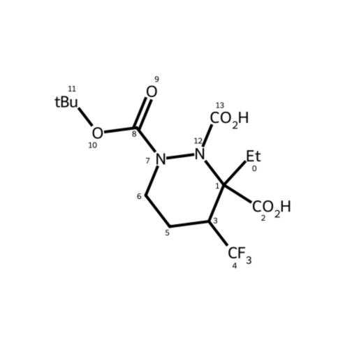 CCC1(C(=O)O)C(C(F)(F)F)CCN(C(=O)OC(C)(C)C)N1C(=O)O